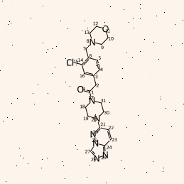 O=C(Cc1ccc(CN2CCOCC2)c(Cl)c1)N1CCN(c2ccc3nncn3n2)CC1